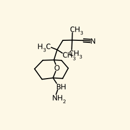 CC(C)(C#N)CC(C)(C)C12CCCC(BN)(CCC1)O2